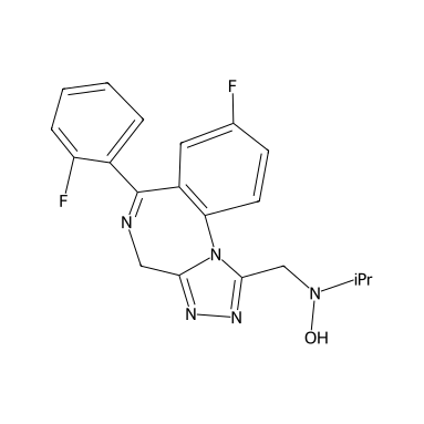 CC(C)N(O)Cc1nnc2n1-c1ccc(F)cc1C(c1ccccc1F)=NC2